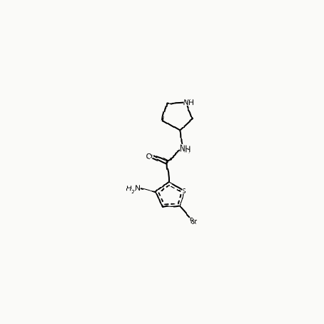 Nc1cc(Br)sc1C(=O)NC1CCNC1